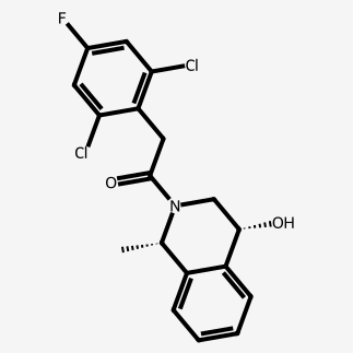 C[C@H]1c2ccccc2[C@@H](O)CN1C(=O)Cc1c(Cl)cc(F)cc1Cl